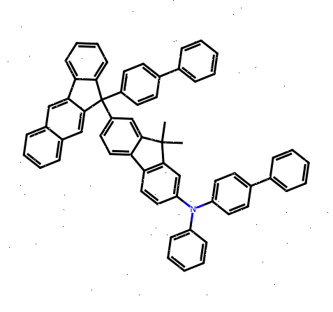 CC1(C)c2cc(N(c3ccccc3)c3ccc(-c4ccccc4)cc3)ccc2-c2ccc(C3(c4ccc(-c5ccccc5)cc4)c4ccccc4-c4cc5ccccc5cc43)cc21